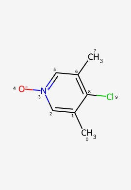 Cc1c[n+]([O-])cc(C)c1Cl